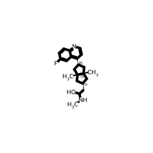 CNC(O)C[C@H]1C[C@@]2(C)C[C@@H](c3ccnc4ccc(F)cc34)C[C@@]2(C)C1